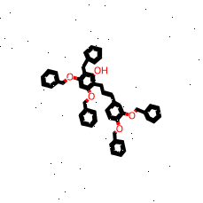 Oc1c(CC=Cc2ccc(OCc3ccccc3)c(OCc3ccccc3)c2)c(OCc2ccccc2)cc(OCc2ccccc2)c1Cc1ccccc1